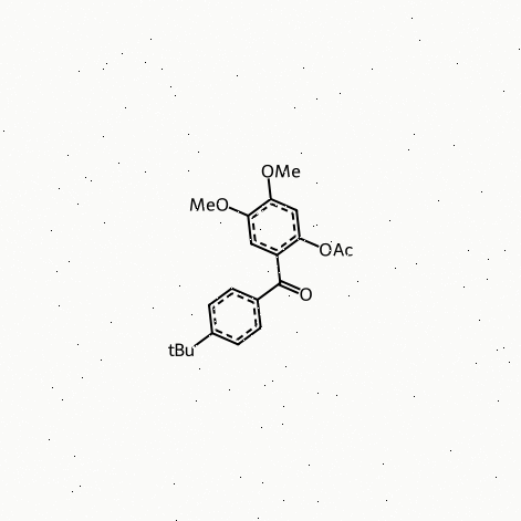 COc1cc(OC(C)=O)c(C(=O)c2ccc(C(C)(C)C)cc2)cc1OC